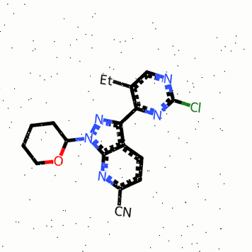 CCc1cnc(Cl)nc1-c1nn(C2CCCCO2)c2nc(C#N)ccc12